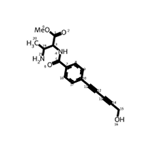 COC(=O)C(NC(=O)c1ccc(C#CC#CCO)cc1)C(C)N